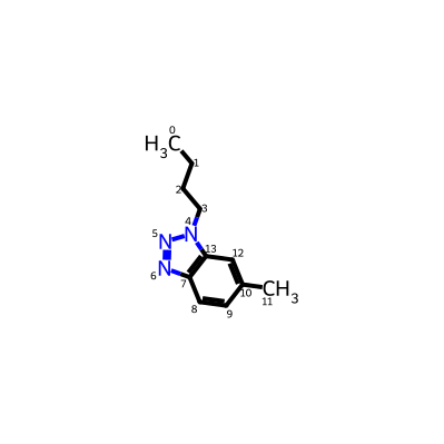 CCCCn1nnc2ccc(C)cc21